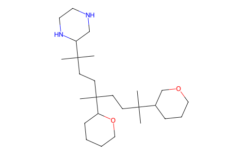 CC(C)(CCC(C)(CCC(C)(C)C1CNCCN1)C1CCCCO1)C1CCCOC1